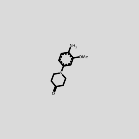 COc1cc(N2CCC(=O)CC2)ccc1N